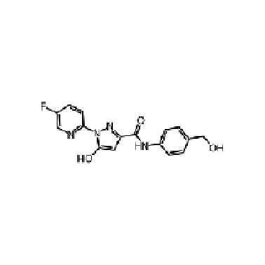 O=C(Nc1ccc(CO)cc1)c1cc(O)n(-c2ccc(F)cn2)n1